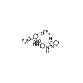 CN(C)c1nc(Nc2ccc(NS(=O)(=O)c3cc(COC(F)(F)F)ccc3COC(F)(F)F)cc2)nc2ccccc12